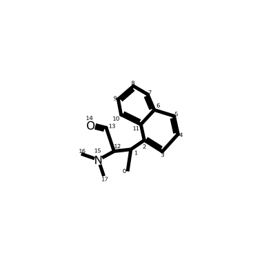 CC(c1cccc2ccccc12)C(C=O)N(C)C